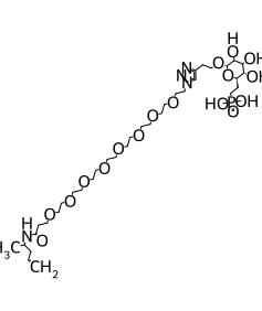 C=CCC(C)NC(=O)CCOCCOCCOCCOCCOCCOCCOCCOCCn1cc(CCO[C@H]2O[C@H](CCP(=O)(O)O)[C@@H](O)[C@H](O)[C@@H]2O)nn1